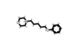 c1ccc(OCCCCCN2CCOCC2)cc1